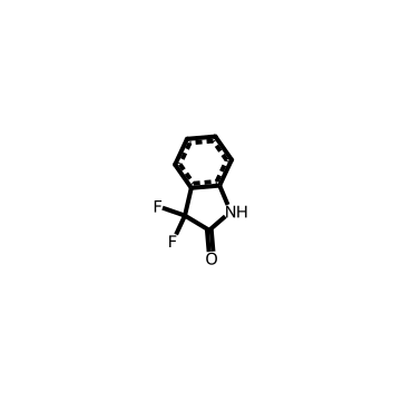 O=C1Nc2ccccc2C1(F)F